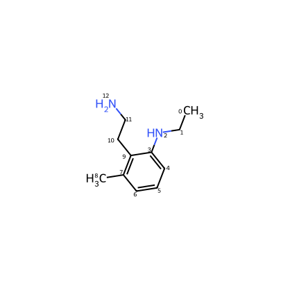 CCNc1cccc(C)c1CCN